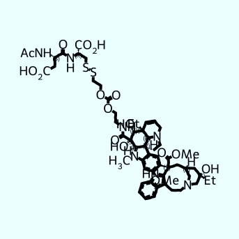 CC[C@]1(O)C[C@H]2CN(CCc3c([nH]c4ccccc34)[C@@](C(=O)OC)(c3cc4c(cc3OC)N(C)[C@H]3[C@@](O)(C(=O)NCCOC(=O)OCCSSC[C@H](NC(=O)[C@H](CC(=O)O)NC(C)=O)C(=O)O)[C@H](O)[C@]5(CC)C=CCN6CC[C@]43[C@@H]65)C2)C1